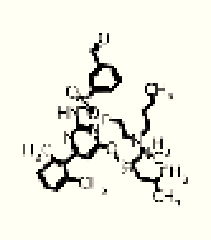 CCCCN(CCF)N(C)[C@@H](COc1cc(-c2c(C)cccc2C)nc(NS(=O)(=O)c2cccc(C=O)c2)n1)CC(C)C